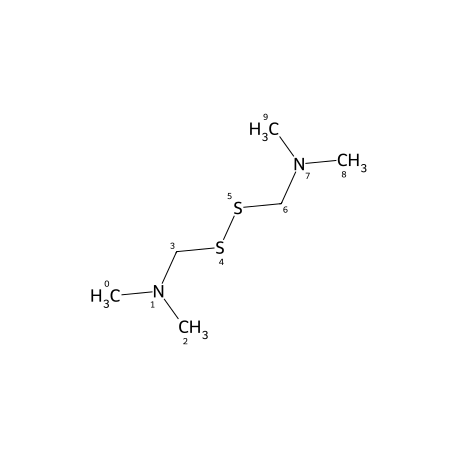 CN(C)CSSCN(C)C